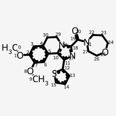 COc1cc2c(cc1OC)-c1c(-c3cccs3)nc(C(=O)N3CCCOCC3)n1CC2